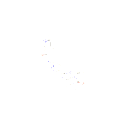 CCCn1c(=O)c2[nH]c(-c3ccc(NCC(=O)c4ccc(F)nc4)nc3)nc2n(CCC)c1=O